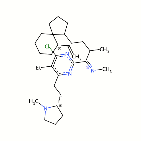 C=C[C@H]1CCCCC12CCCC2CCC(C)/C(=N\C)c1nc(Cl)c(CC)c(CC[C@@H]2CCCN2C)n1